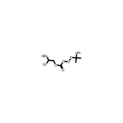 CCCCC(CC)COC(=O)OOOC(C)(C)CCC